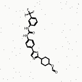 O=COC1CCC(c2ncc(-c3ccc(NC(=O)Nc4cccc(C(F)(F)F)c4)cc3)s2)CC1